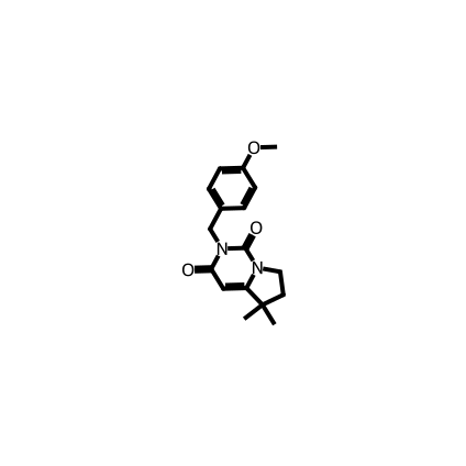 COc1ccc(Cn2c(=O)cc3n(c2=O)CCC3(C)C)cc1